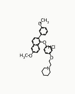 COc1cccc(-c2ccc3cc(OC)ccc3c2Oc2ccc(OCCN3CCCCC3)cc2)c1.Cl